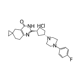 Cl.O=c1[nH]c([C@H]2CC[C@H](N3CCN(c4ccc(F)cc4)CC3)C2)nc2c1CC1(CC2)CC1